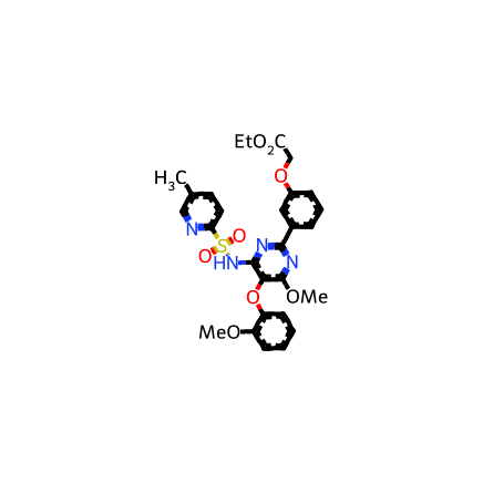 CCOC(=O)COc1cccc(-c2nc(NS(=O)(=O)c3ccc(C)cn3)c(Oc3ccccc3OC)c(OC)n2)c1